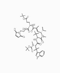 C/C(=C\[C@H](C(C)C)N(C)C(=O)[C@@H](NC(=O)[C@@H](N(C)C(=O)OC(C)(C)C)C(C)(C)c1cn(C)c2ccccc12)C(C)(C)C)C(=O)N[C@H](CCC(=O)OC(C)(C)C)C(=O)NCCN1C(=O)C=CC1=O